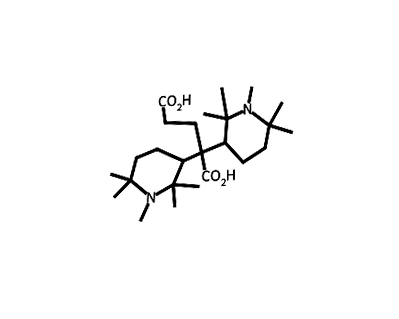 CN1C(C)(C)CCC(C(CCC(=O)O)(C(=O)O)C2CCC(C)(C)N(C)C2(C)C)C1(C)C